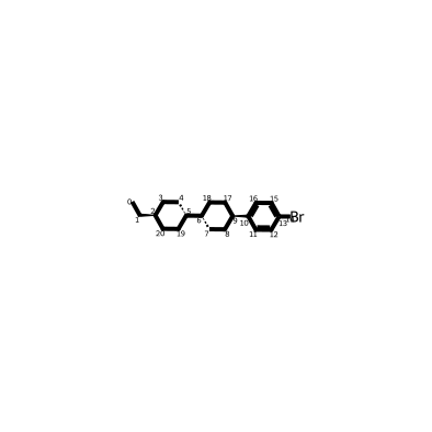 CC[C@H]1CC[C@H]([C@H]2CC[C@H](c3ccc(Br)cc3)CC2)CC1